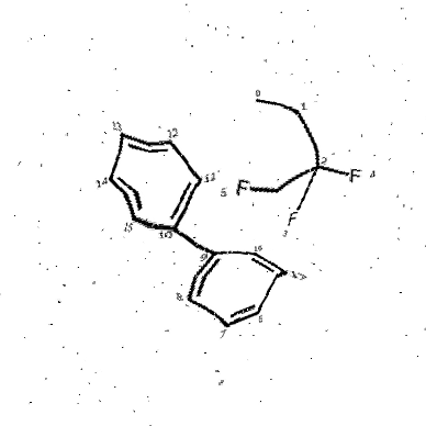 CCC(F)(F)F.c1ccc(-c2ccccc2)cc1